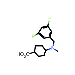 CN(Cc1cc(F)cc(F)c1)C1CCC(C(=O)O)CC1